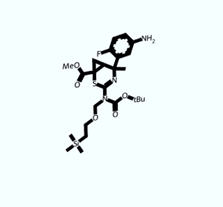 COC(=O)C12CC1C(C)(c1cc(N)ccc1F)N=C(N(COCC[Si](C)(C)C)C(=O)OC(C)(C)C)S2